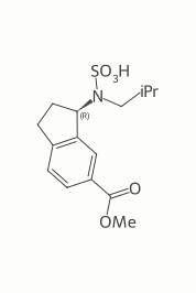 COC(=O)c1ccc2c(c1)[C@H](N(CC(C)C)S(=O)(=O)O)CC2